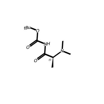 C[C@@H](C(=O)NC(=O)OC(C)(C)C)N(C)C